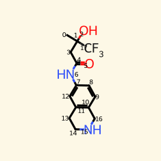 CC(O)(CC(=O)Nc1ccc2c(c1)CCNC2)C(F)(F)F